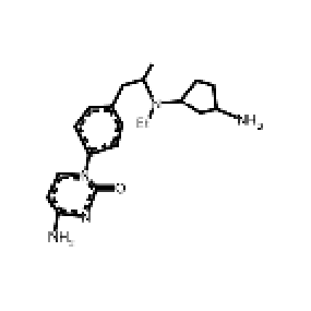 CCN(C(C)Cc1ccc(-n2ccc(N)nc2=O)cc1)C1CCC(N)C1